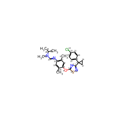 Cc1cc(Oc2nc(C3(c4ccc(Cl)cc4)CC3)ns2)c(C)cc1N=CN(C)C(C)C